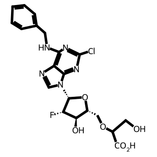 O=C(O)C(CO)OC[C@H]1O[C@@H](n2cnc3c(NCc4ccccc4)nc(Cl)nc32)[C@@H](F)[C@@H]1O